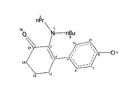 CCCCN(CCC)C1=C(c2ccc(Cl)cc2)CCCC1=O